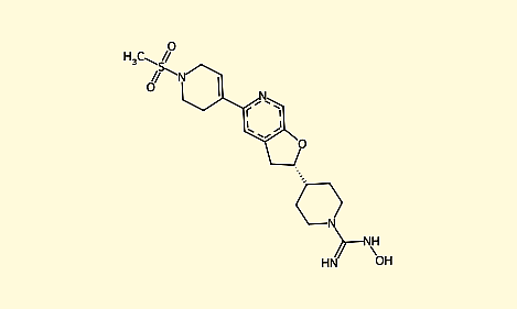 CS(=O)(=O)N1CC=C(c2cc3c(cn2)O[C@H](C2CCN(C(=N)NO)CC2)C3)CC1